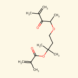 C=C(C)C(=O)OC(C)(C)CCOC(C)C(=O)C(=C)C